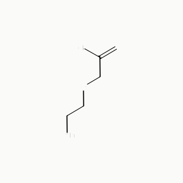 C=C(Cl)COCCCCC